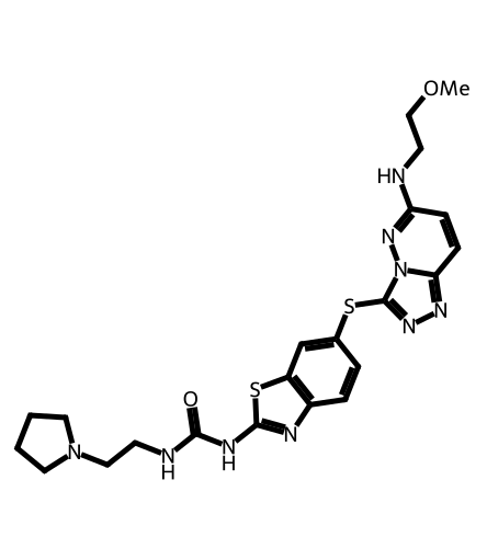 COCCNc1ccc2nnc(Sc3ccc4nc(NC(=O)NCCN5CCCC5)sc4c3)n2n1